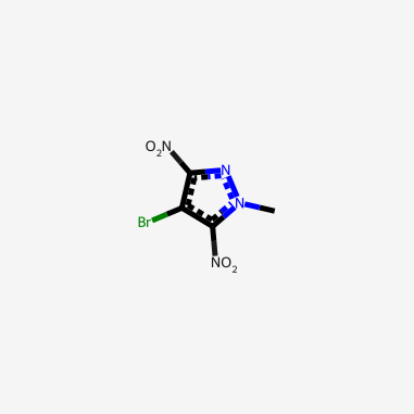 Cn1nc([N+](=O)[O-])c(Br)c1[N+](=O)[O-]